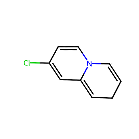 ClC1=CC2=CCC=[C]N2C=C1